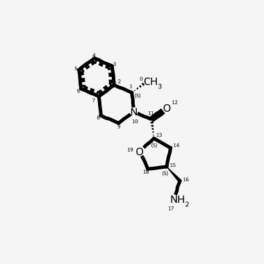 C[C@H]1c2ccccc2CCN1C(=O)[C@@H]1C[C@@H](CN)CO1